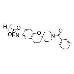 CS(=O)(=O)Nc1ccc2c(c1)CCC1(CCN(C(=O)c3ccccc3)CC1)O2